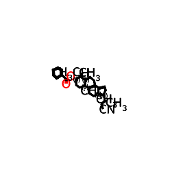 CC(CC#N)[C@H]1CC=C2C3=C(CC[C@@]21C)[C@@]1(C)CC[C@H](OC(=O)c2ccccc2)C(C)(C)[C@@H]1CC3